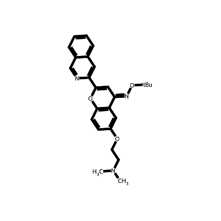 CN(C)CCOc1ccc2oc(-c3cc4ccccc4cn3)cc(=NOC(C)(C)C)c2c1